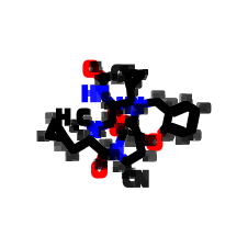 CN(C(=O)C(CC1CC1)NC(=O)C(F)(F)F)C(CC1CC1)C(=O)N1C[C@@]2(C[C@H]1C#N)Oc1ccccc1CNC2=O